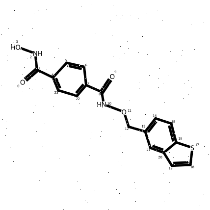 O=C(NO)c1ccc(C(=O)NOCc2ccc3sccc3c2)cc1